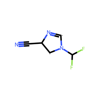 N#CC1[CH]N(C(F)F)[C]=N1